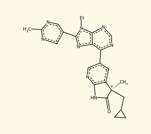 CCn1c(-c2cnc(C)nc2)nc2c(-c3cnc4c(c3)[C@@](C)(CC3CC3)C(=O)N4)ncnc21